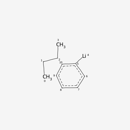 CCCC.[Li][c]1ccccc1